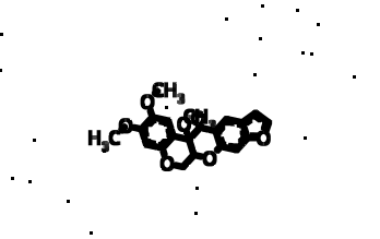 COc1cc2c(cc1OC)C1(OC)C(=O)c3cc4ccoc4cc3OC1CO2